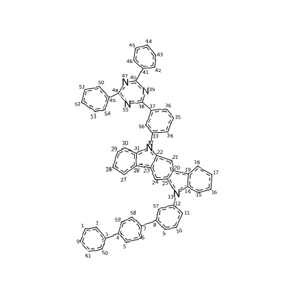 c1ccc(-c2ccc(-c3cccc(-n4c5ccccc5c5cc6c(cc54)c4ccccc4n6-c4cccc(-c5nc(-c6ccccc6)nc(-c6ccccc6)n5)c4)c3)cc2)cc1